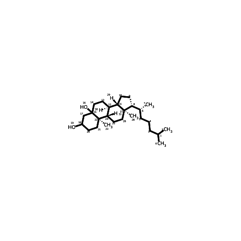 CC(C)CCC[C@@H](C)[C@H]1CC[C@H]2[C@@H]3CCC4(O)CC(O)CC[C@]4(C)[C@H]3CC[C@]12C